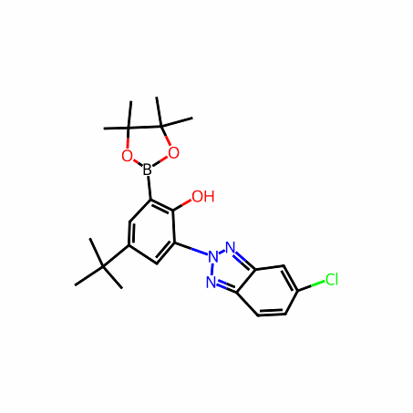 CC(C)(C)c1cc(B2OC(C)(C)C(C)(C)O2)c(O)c(-n2nc3ccc(Cl)cc3n2)c1